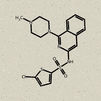 CN1CCN(c2nc(NS(=O)(=O)c3ccc(Cl)s3)cc3ccccc23)CC1